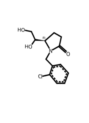 O=C1CC[C@H](C(O)CO)N1Cc1ccccc1Cl